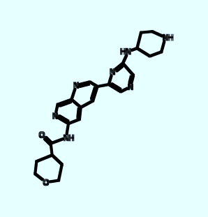 O=C(Nc1cc2cc(-c3cncc(NC4CCNCC4)n3)cnc2cn1)C1CCOCC1